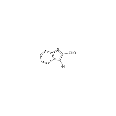 [2H]c1c(C=O)sc2ccccc12